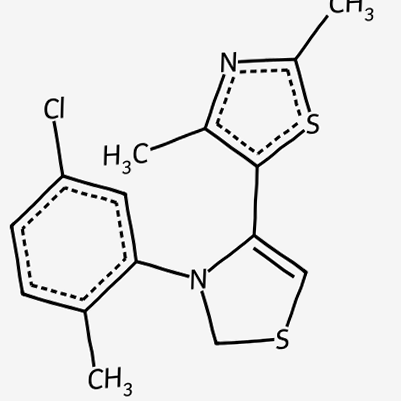 Cc1nc(C)c(C2=CSCN2c2cc(Cl)ccc2C)s1